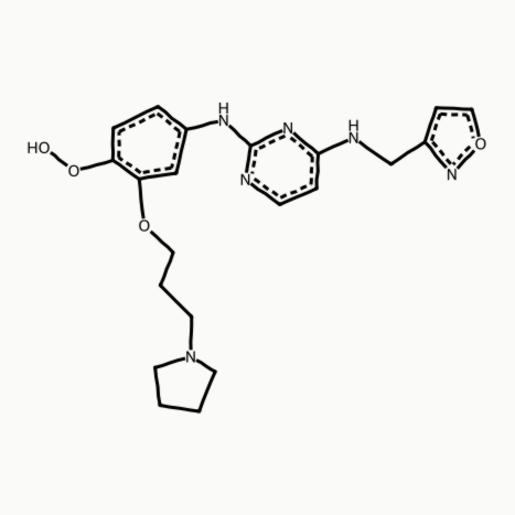 OOc1ccc(Nc2nccc(NCc3ccon3)n2)cc1OCCCN1CCCC1